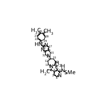 C=C(c1ccnc(NSC)c1)N1CC[C@H](N2Cc3cnc(NC4=CC=C(C)C(C)=CC4)nc3C2)CC[C@H]1C